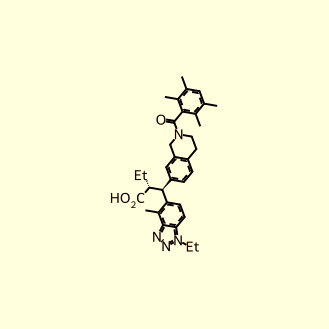 CC[C@@H](C(=O)O)[C@@H](c1ccc2c(c1)CN(C(=O)c1c(C)c(C)cc(C)c1C)CC2)c1ccc2c(nnn2CC)c1C